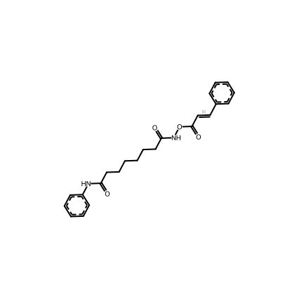 O=C(CCCCCCC(=O)Nc1ccccc1)NOC(=O)/C=C/c1ccccc1